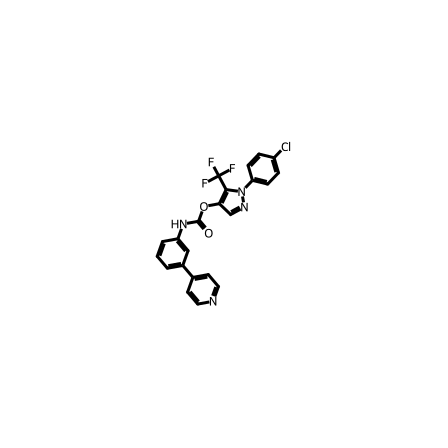 O=C(Nc1cccc(-c2ccncc2)c1)Oc1cnn(-c2ccc(Cl)cc2)c1C(F)(F)F